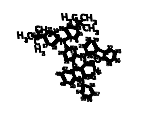 CC(C)(C)c1ccc(N(c2ccc(C(C)(C)C)cc2)c2ccc3c(n2)N(c2cccc4c2oc2ccccc24)c2cncc4c2B3c2ccccc2N4c2ccccc2)cc1